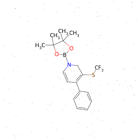 CC1(C)OB(N2C=CC(c3ccccc3)=C(SC(F)(F)F)C2)OC1(C)C